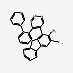 Cc1cc2c(c(-c3cnnnc3-c3ccccc3-c3ccccc3)c1C)Cc1ccccc1-2